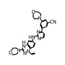 C=CN(/N=C(\N)N1CCOCC1)c1ccc(Nc2nccc(-c3cc(C#N)cc(N4CCOCC4)c3)n2)cc1